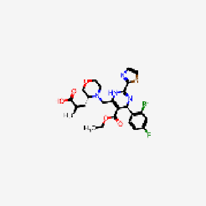 CCOC(=O)C1=C(CN2CCOC[C@H]2CC(C)C(=O)O)NC(c2nccs2)=N[C@H]1c1ccc(F)cc1Br